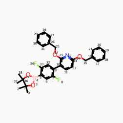 CC1(C)OB(c2cc(F)c(-c3ccc(OCc4ccccc4)nc3OCc3ccccc3)cc2F)OC1(C)C